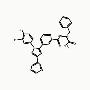 NC(=O)[C@H](Cc1ccccc1)NC(=O)c1cccc(-c2cc(-c3cccnc3)nn2-c2ccc(Cl)c(Cl)c2)c1